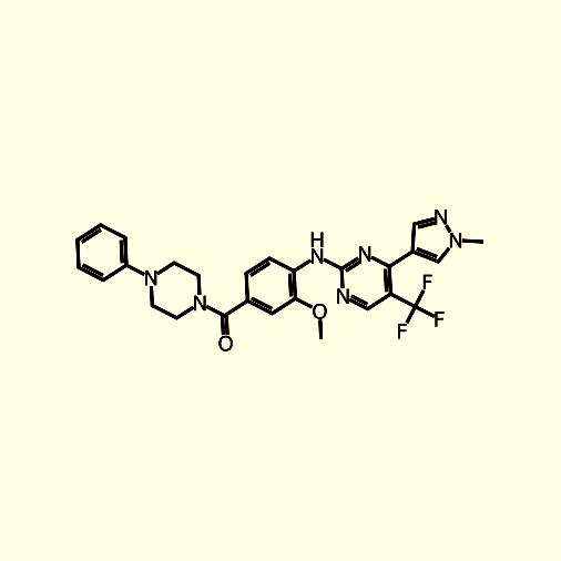 COc1cc(C(=O)N2CCN(c3ccccc3)CC2)ccc1Nc1ncc(C(F)(F)F)c(-c2cnn(C)c2)n1